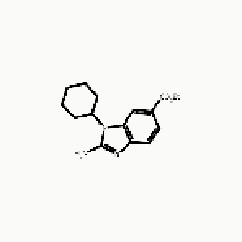 CCOC(=O)c1ccc2nc(N)n(C3CCCCC3)c2c1